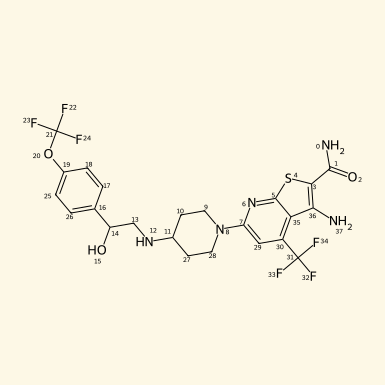 NC(=O)c1sc2nc(N3CCC(NCC(O)c4ccc(OC(F)(F)F)cc4)CC3)cc(C(F)(F)F)c2c1N